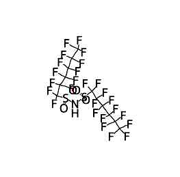 O=S(=O)(NS(=O)(=O)C(F)(F)C(F)(F)C(F)(F)C(F)(F)C(F)(F)C(F)(F)F)C(F)(F)C(F)(F)C(F)(F)C(F)(F)C(F)(F)C(F)(F)F